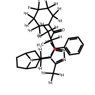 [2H]C([2H])([2H])c1nnc(C([2H])(C)C([2H])([2H])[2H])n1C1CC2CCC(C1)N2C([2H])([2H])CC(NC(=O)C1C([2H])([2H])C([2H])([2H])C(F)(F)C([2H])([2H])C1([2H])[2H])c1ccccc1